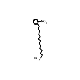 O=C(O)CCCCCCCCCCCCCc1ccccc1[N+](=O)[O-]